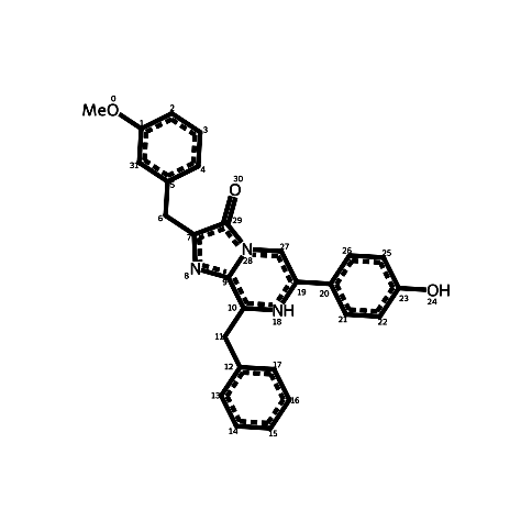 COc1cccc(Cc2nc3c(Cc4ccccc4)[nH]c(-c4ccc(O)cc4)cn-3c2=O)c1